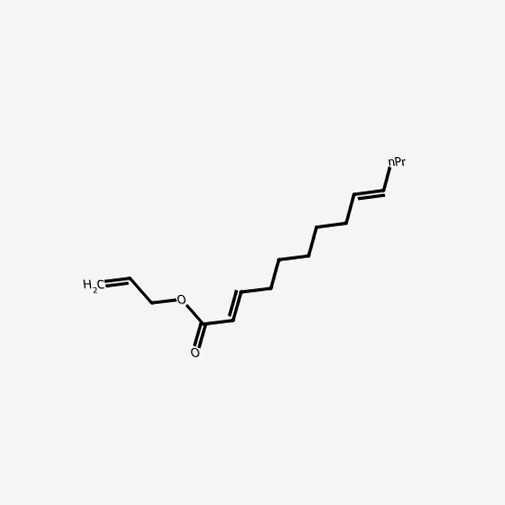 C=CCOC(=O)C=CCCCCCC=CCCC